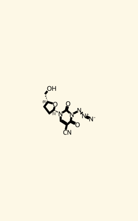 N#Cc1cn([C@@H]2CC[C@H](CO)O2)c(=O)n(N=[N+]=[N-])c1=O